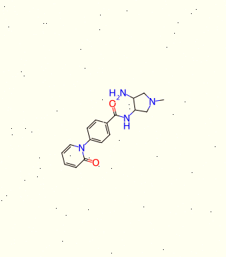 CN1CC(N)C(NC(=O)c2ccc(-n3ccccc3=O)cc2)C1